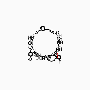 COc1ccc(C[C@@H]2NC(=O)[C@H]([C@@H](C)O)NC(=O)[C@@H]3CCCCC/C=C/CC[C@H](NC(=O)[C@@H](C)NC(=O)[C@H](C)NC(=O)CCSCc4cccc(c4)CSCCNC(=O)[C@]4(C)CCCN4C2=O)C(=O)N[C@@H](Cc2c[nH]c4ccc(F)cc24)C(=O)N3)cc1